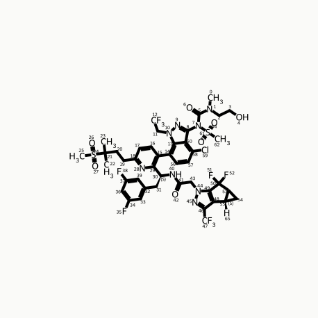 CN(CCO)C(=O)N(c1nn(CC(F)(F)F)c2c(-c3ccc(CCC(C)(C)S(C)(=O)=O)nc3[C@H](Cc3cc(F)cc(F)c3)NC(=O)Cn3nc(C(F)(F)F)c4c3C(F)(F)C3C[C@H]43)ccc(Cl)c12)S(C)(=O)=O